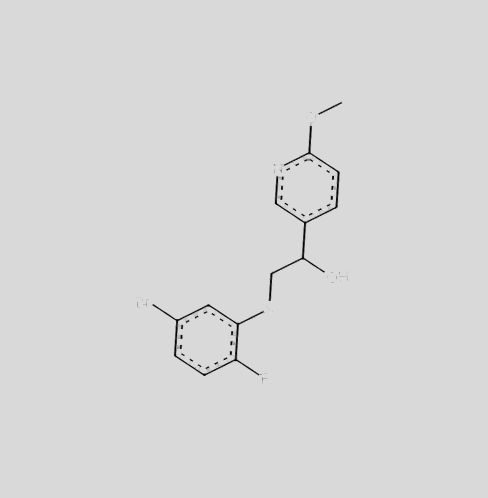 COc1ccc(C(O)CSc2cc(Br)ccc2F)cn1